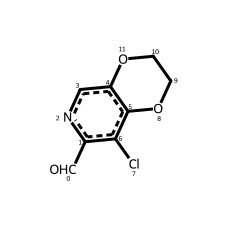 O=Cc1ncc2c(c1Cl)OCCO2